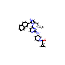 O=C(O)Cc1cnc(-c2ccc3ccccc3c2)n1-c1ccnc(N[C@H]2CCCN(C(=O)C3CC3)C2)n1